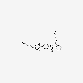 CCCCCCc1cnc(-c2ccc(OC(=O)c3ccccc3CCCCCC)cc2)nc1